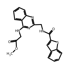 COC(=O)CNc1nc(CNC(=O)c2cc3ccccc3s2)nc2ccccc12